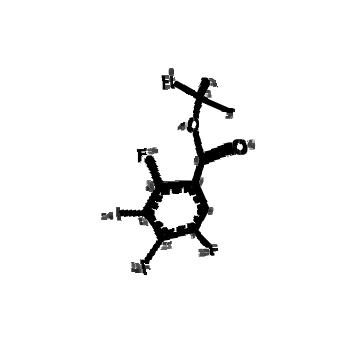 CCC(C)(C)OC(=O)c1cc(F)c(F)c(I)c1F